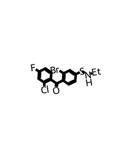 CCNSc1ccc(C(=O)c2ccc(F)cc2Cl)c(Br)c1